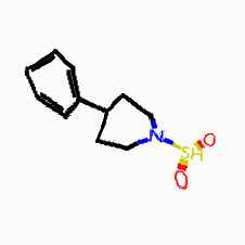 O=[SH](=O)N1CCC(c2ccccc2)CC1